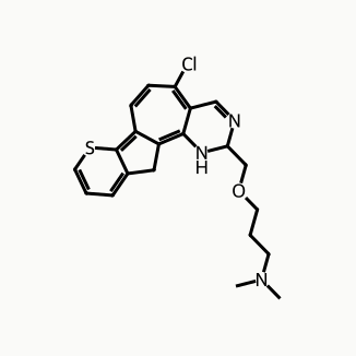 CN(C)CCCOCC1N=CC2=C(Cl)C=CC3=C4SC=CC=C4CC3=C2N1